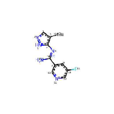 CC(C)(C)c1cn[nH]c1/N=C(\N)c1cncc(F)c1